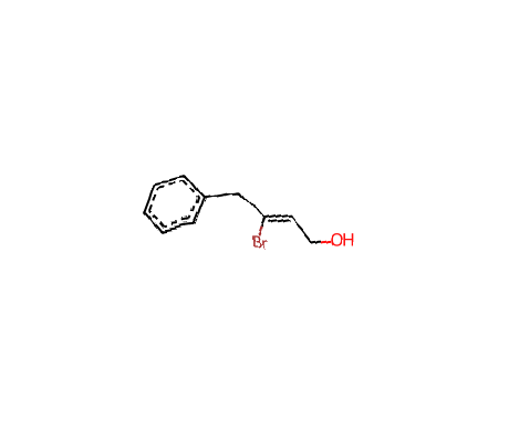 OCC=C(Br)Cc1ccccc1